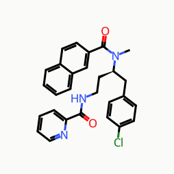 CN(C(=O)c1ccc2ccccc2c1)[C@H](CCNC(=O)c1ccccn1)Cc1ccc(Cl)cc1